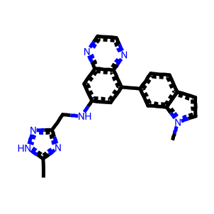 Cc1nc(CNc2cc(-c3ccc4ccn(C)c4c3)c3nccnc3c2)n[nH]1